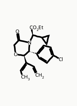 C=C/C(=C\C)[C@H]1OCC(=O)N([C@@H](C(=O)OCC)C2CC2)[C@@H]1c1ccc(Cl)cc1